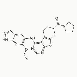 CCOc1cc2[nH]ncc2cc1Nc1ncnc2sc3c(c12)CC[C@H](C(=O)N1CCCC1)C3